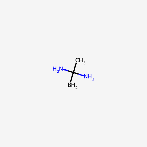 BC(C)(N)N